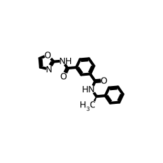 C[C@@H](NC(=O)c1cccc(C(=O)Nc2ncco2)c1)c1ccccc1